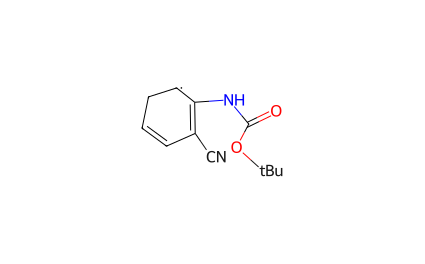 CC(C)(C)OC(=O)NC1=C(C#N)C=CC[CH]1